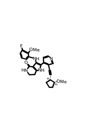 COc1c(F)cccc1Nc1c(-c2ccncc2C#C[C@H]2CCC[C@H]2OC)[nH]c2c1C(=O)NCC2